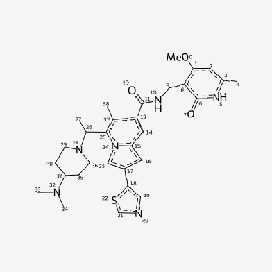 COc1cc(C)[nH]c(=O)c1CNC(=O)c1cc2cc(-c3cncs3)cn2c(C(C)N2CCC(N(C)C)CC2)c1C